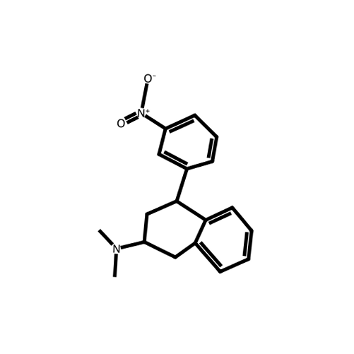 CN(C)C1Cc2ccccc2C(c2cccc([N+](=O)[O-])c2)C1